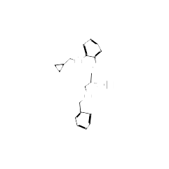 O[C@@H](COCc1ccccc1)COc1ccccc1OCC1CC1